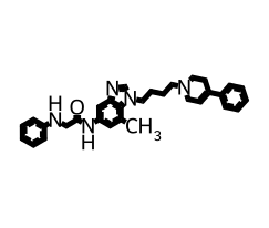 Cc1cc(NC(=O)CNc2ccccc2)cc2ncn(CCCCN3CC=C(c4ccccc4)CC3)c12